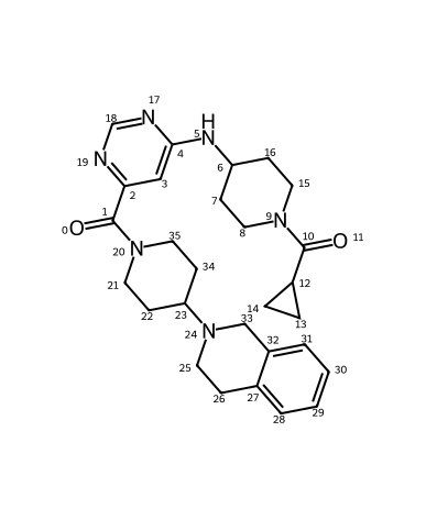 O=C(c1cc(NC2CCN(C(=O)C3CC3)CC2)ncn1)N1CCC(N2CCc3ccccc3C2)CC1